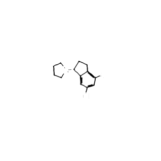 Clc1cc(Cl)c2c(c1)[C@@H](N1CCCC1)CC2